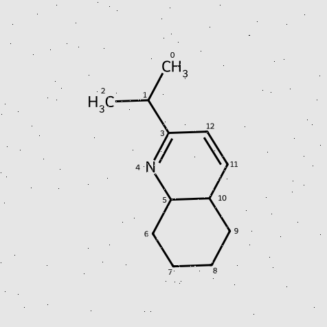 CC(C)C1=NC2CCCCC2C=C1